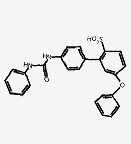 O=C(Nc1ccccc1)Nc1ccc(-c2cc(Oc3ccccc3)ccc2S(=O)(=O)O)cc1